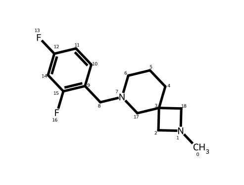 CN1CC2(CCCN(Cc3ccc(F)cc3F)C2)C1